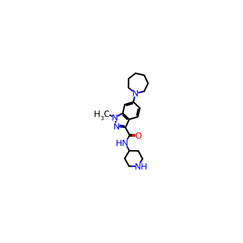 Cn1nc(C(=O)NC2CCNCC2)c2ccc(N3CCCCCC3)cc21